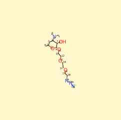 CC1CC(N(C)C)C(O)C(OCCOCCOCCN=[N+]=[N-])O1